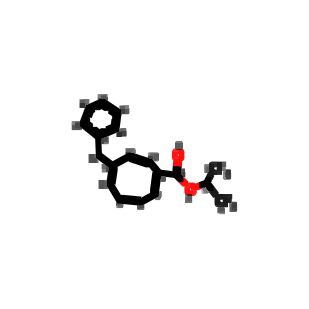 O=C(OC(C(F)(F)F)C(F)(F)F)C1=C/C=C\C=C(Cc2ccccc2)/C=C\1